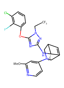 COc1cc(N2CC3=CC(C2)[C@@H]3Nc2nc(Oc3cccc(Cl)c3F)n(CC(F)(F)F)n2)ccn1